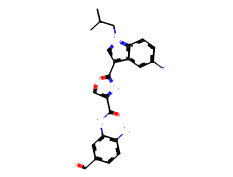 CC(C)Cn1cc(-c2nc(C(=O)Nc3cc(C=O)ccc3N)co2)c2cc(I)ccc21